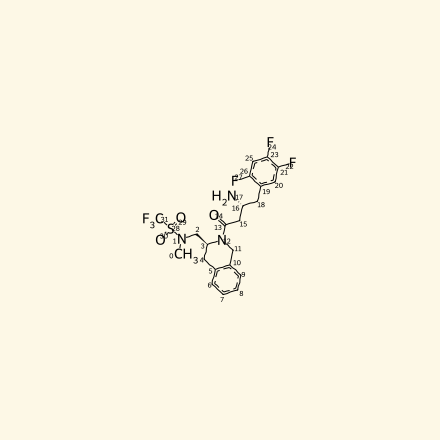 CN(C[C@@H]1Cc2ccccc2CN1C(=O)C[C@H](N)Cc1cc(F)c(F)cc1F)S(=O)(=O)C(F)(F)F